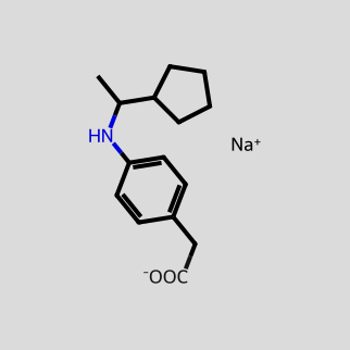 CC(Nc1ccc(CC(=O)[O-])cc1)C1CCCC1.[Na+]